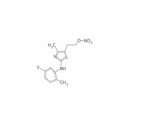 Cc1ccc(F)cc1Nc1nc(C)c(CCO[N+](=O)[O-])s1